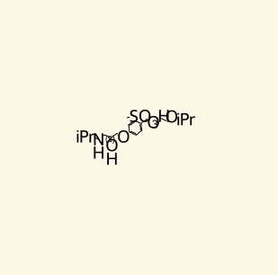 CC(C)NC[C@H](O)COc1ccc(COCCOC(C)C)cc1.CS(=O)(=O)O